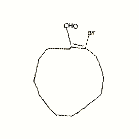 O=CC1=C(Br)CCCCCCCCCC1